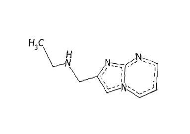 CCNCc1cn2cccnc2n1